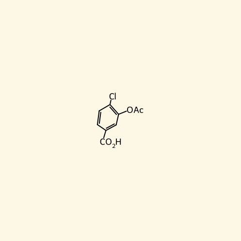 CC(=O)Oc1cc(C(=O)O)ccc1Cl